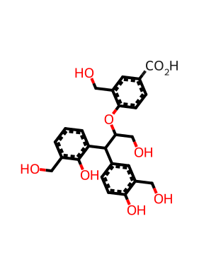 O=C(O)c1ccc(OC(CO)C(c2ccc(O)c(CO)c2)c2cccc(CO)c2O)c(CO)c1